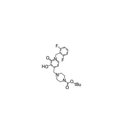 CC(C)(C)OC(=O)N1CCN(Cc2ccn(Cc3c(F)cccc3F)c(=O)c2O)CC1